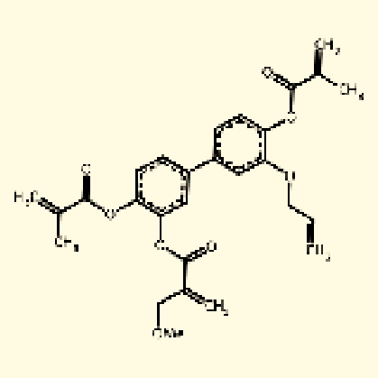 C=CCOc1cc(-c2ccc(OC(=O)C(=C)C)c(OC(=O)C(=C)COC)c2)ccc1OC(=O)C(=C)C